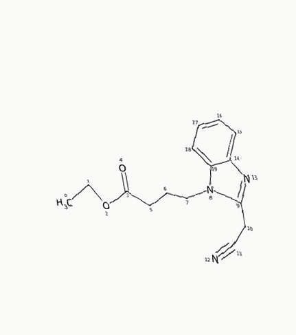 CCOC(=O)CCCn1c(CC#N)nc2ccccc21